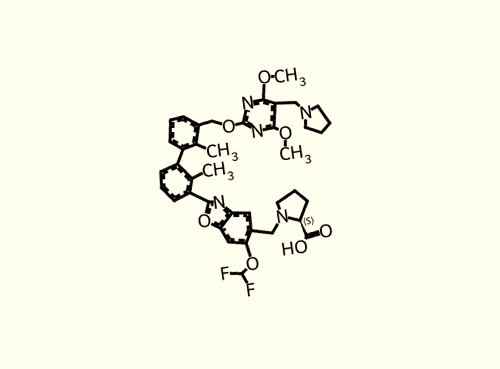 COc1nc(OCc2cccc(-c3cccc(-c4nc5cc(CN6CCC[C@H]6C(=O)O)c(OC(F)F)cc5o4)c3C)c2C)nc(OC)c1CN1CCCC1